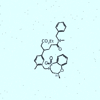 CCOC(=O)CC(CCC(=O)N(C)Cc1ccccc1)c1ccc(C)c(CN2C[C@H](C)Oc3ccccc3S2(=O)=O)c1